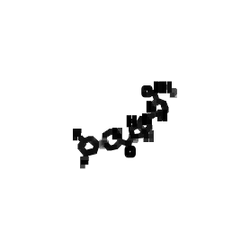 NC(=O)c1ccnc(N2C[C@H]3C[C@@H](C(=O)C4CC[C@H](c5cc(F)cc(F)c5)CC=N4)C[C@H]3C2)n1